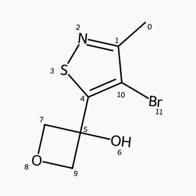 Cc1nsc(C2(O)COC2)c1Br